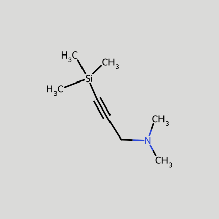 CN(C)CC#C[Si](C)(C)C